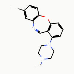 CCCN1CCN(c2cccc3c2C=Nc2cc(C(F)(F)F)ccc2O3)CC1